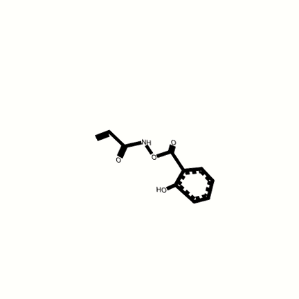 C=CC(=O)NOC(=O)c1ccccc1O